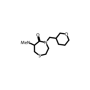 CNC1CSCCN(CC2CCCOC2)C1=O